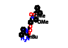 CCCC[C@H](N)C(=O)CC([N]NC(=O)COc1ccc(CN(C(=O)OCC2c3ccccc3-c3ccccc32)c2ccc(OC)cc2OC)cc1)(c1ccccc1)c1ccccc1